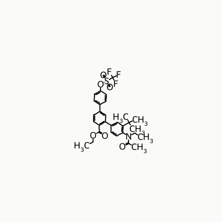 CCOC(=O)c1ccc(-c2ccc(OS(=O)(=O)C(F)(F)F)cc2)cc1-c1ccc(N(CC)C(C)=O)c(C(C)(C)C)c1